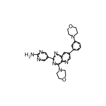 Nc1ncc(-c2nc(N3CCOCC3)c3ncc(-c4cccc(N5CCOCC5)c4)cc3n2)cn1